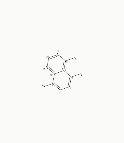 Cc1ccc(C)c2c(C)ncnc12